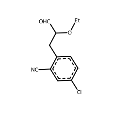 CCOC(C=O)Cc1c[c]c(Cl)cc1C#N